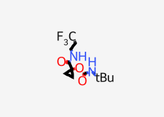 CC(C)(C)NC(=O)OC1(C(=O)NCCC(F)(F)F)CC1